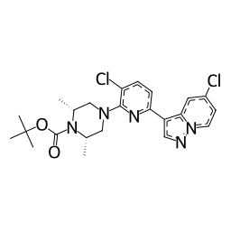 C[C@@H]1CN(c2nc(-c3cnn4ccc(Cl)cc34)ccc2Cl)C[C@H](C)N1C(=O)OC(C)(C)C